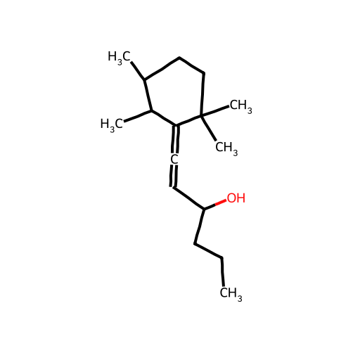 CCCC(O)C=C=C1C(C)C(C)CCC1(C)C